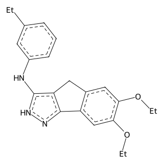 CCOc1cc2c(cc1OCC)-c1n[nH]c(Nc3cccc(CC)c3)c1C2